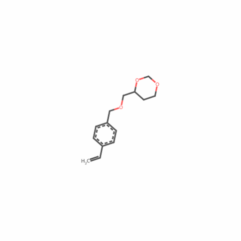 C=Cc1ccc(COCC2CCOCO2)cc1